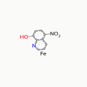 O=[N+]([O-])c1ccc(O)c2ncccc12.[Fe]